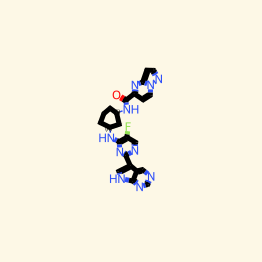 O=C(N[C@H]1CCC[C@@H](Nc2nc(-c3c[nH]c4ncncc34)ncc2F)C1)c1ccn2nccc2n1